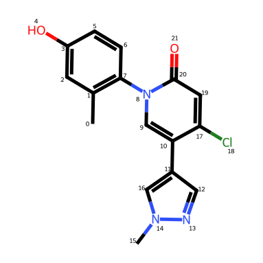 Cc1cc(O)ccc1-n1cc(-c2cnn(C)c2)c(Cl)cc1=O